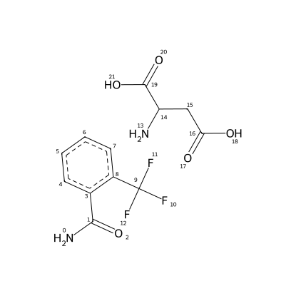 NC(=O)c1ccccc1C(F)(F)F.NC(CC(=O)O)C(=O)O